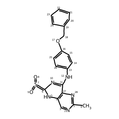 Cc1ncc2[nH]c(=S(=O)=O)nc(Nc3ccc(OCc4ccccc4)cc3)c2n1